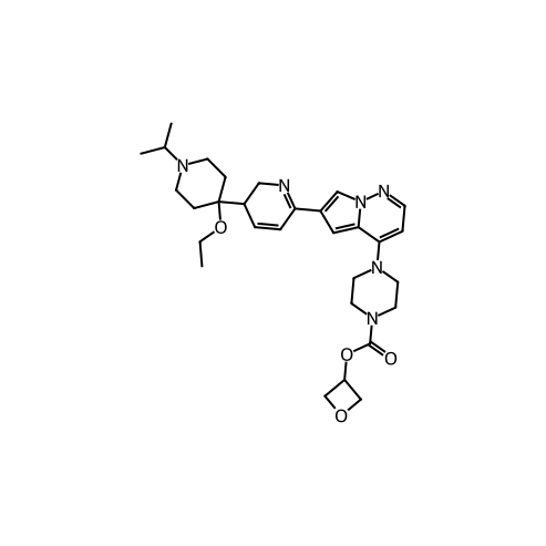 CCOC1(C2C=CC(c3cc4c(N5CCN(C(=O)OC6COC6)CC5)ccnn4c3)=NC2)CCN(C(C)C)CC1